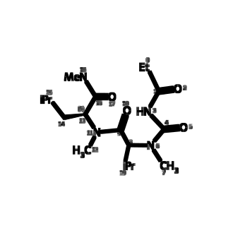 CCC(=O)NC(=O)N(C)C(C(=O)N(C)[C@@H](CC(C)C)C(=O)NC)C(C)C